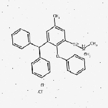 Cc1c[c]([Ti+2][SiH](C)C)c(Oc2ccccc2)c(C(c2ccccc2)c2ccccc2)c1.[Cl-].[Cl-]